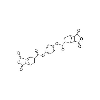 O=C(Oc1ccc(OC(=O)C2CC3CC2C2C(=O)OC(=O)C32)cc1)C1CC2CC1C1C(=O)OC(=O)C21